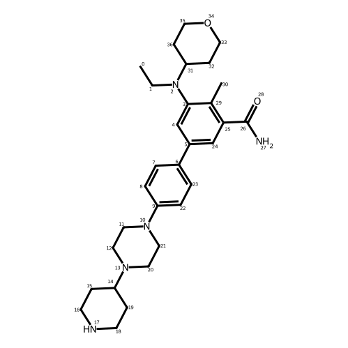 CCN(c1cc(-c2ccc(N3CCN(C4CCNCC4)CC3)cc2)cc(C(N)=O)c1C)C1CCOCC1